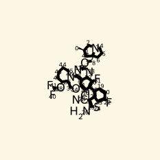 C[C@H]1CN2CCC[C@@]2(COc2nc3c4c(c(Cl)c(-c5ccc(F)c6sc(N)c(C#N)c56)c(F)c4n2)OCC2C(OC(F)F)CCCCN32)C1